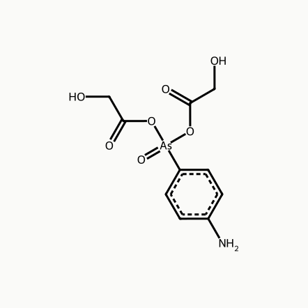 Nc1ccc([As](=O)(OC(=O)CO)OC(=O)CO)cc1